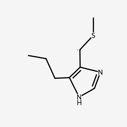 CCCc1[nH]cnc1[CH]SC